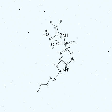 CCCCSc1nc2ccc(S(=O)(=O)N[C@@H](C(=O)O)C(C)C)cc2s1